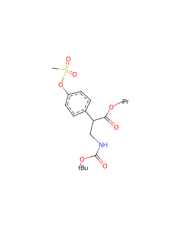 CC(C)OC(=O)C(CNC(=O)OC(C)(C)C)c1ccc(OS(C)(=O)=O)cc1